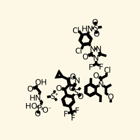 CCc1cccc(C)c1N(C(=O)CCl)C(C)COC.CS(=O)(=O)c1cc(C(F)(F)F)ccc1C(=O)c1cnoc1C1CC1.C[S+](C)C.Cc1nn(-c2cc(NS(C)(=O)=O)c(Cl)cc2Cl)c(=O)n1C(F)F.O=C(O)CNCP(=O)([O-])O